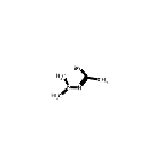 C/C(=N/N(C)C)C(C)C